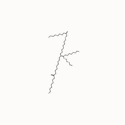 C=C(CCCCCCCC)CCCCCCCCCCC(CCCCCCCCC(=C)CCCCCCCC)=C(CCCCCC)CCCCCCCC